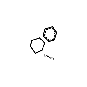 C1CCCCC1.[Li][CH2]C.c1ccccc1